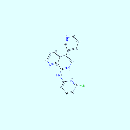 Clc1cccc(Nc2ncc(-c3cccnc3)c3cccnc23)n1